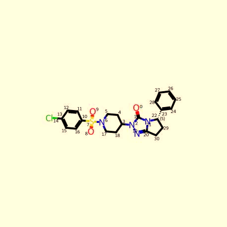 O=c1n(C2CCN(S(=O)(=O)c3ccc(Cl)cc3)CC2)nc2n1[C@H](c1ccccc1)CC2